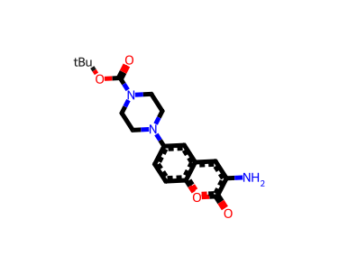 CC(C)(C)OC(=O)N1CCN(c2ccc3oc(=O)c(N)cc3c2)CC1